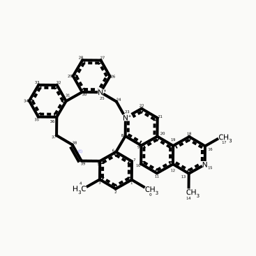 Cc1cc(C)c2c(c1)-c1c3ccc4c(C)nc(C)cc4c3cc[n+]1C[n+]1ccccc1-c1ccccc1C/C=C/2